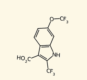 O=C(O)c1c(C(F)(F)F)[nH]c2cc(OC(F)(F)F)ccc12